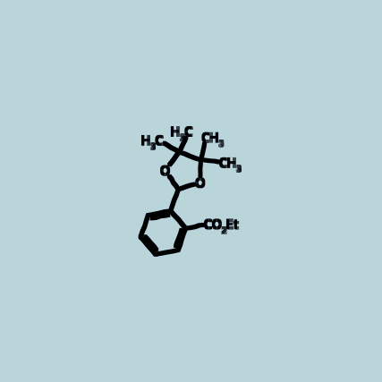 CCOC(=O)c1ccccc1C1OC(C)(C)C(C)(C)O1